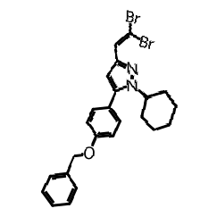 BrC(Br)=Cc1cc(-c2ccc(OCc3ccccc3)cc2)n(C2CCCCC2)n1